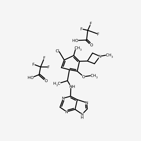 COc1c(C(C)Nc2ncnc3[nH]cnc23)cc(Cl)c(C)c1C1CN(C)C1.O=C(O)C(F)(F)F.O=C(O)C(F)(F)F